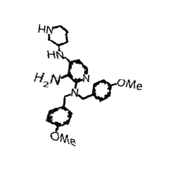 COc1ccc(CN(Cc2ccc(OC)cc2)c2nccc(N[C@@H]3CCCNC3)c2N)cc1